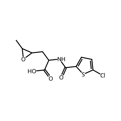 CC1OC1CC(NC(=O)c1ccc(Cl)s1)C(=O)O